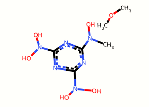 CN(O)c1nc(N(O)O)nc(N(O)O)n1.COC